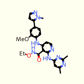 CCONC(=O)c1c(Nc2ccc(-c3ccnn3C)cc2OC)ccnc1Nc1cc(C)nc(C)n1